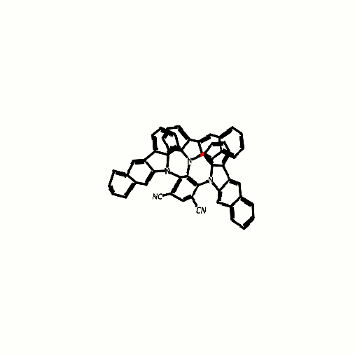 N#Cc1cc(C#N)c(-n2c3ccccc3c3cc4ccccc4cc32)c(-n2c3ccccc3c3cc4ccccc4cc32)c1-n1c2ccccc2c2cc3ccccc3cc21